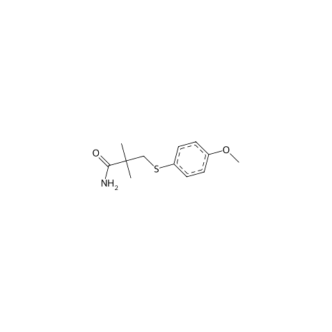 COc1ccc(SCC(C)(C)C(N)=O)cc1